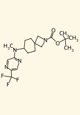 CN(c1cnc(C(F)(F)F)cn1)C1CCC2(CC1)CN(C(=O)OC(C)(C)C)C2